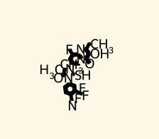 CCc1nc2c(F)cc(N3C(S)N(c4ccc(C#N)c(C(F)(F)F)c4)C(=O)C3(C)C)cn2c(=O)c1O